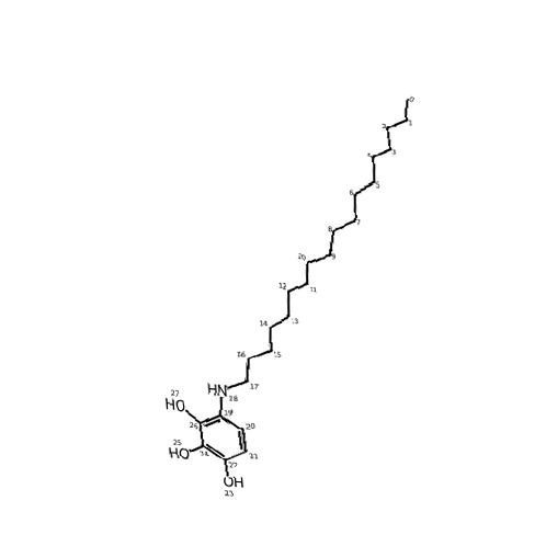 CCCCCCCCCCCCCCCCCCNc1ccc(O)c(O)c1O